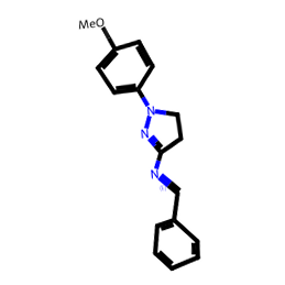 COc1ccc(N2CCC(/N=C/c3ccccc3)=N2)cc1